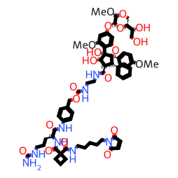 COc1ccc([C@@]23Oc4cc(O[C@@H]5O[C@@H]([C@H](O)CO)CO[C@H]5OC)cc(OC)c4[C@]2(O)[C@H](O)[C@H](C(=O)NCCNC(=O)OCc2ccc(NC(=O)[C@H](CCCNC(N)=O)NC(=O)C4(C(=O)NCCCCCN5C(=O)C=CC5=O)CCC4)cc2)[C@H]3c2ccccc2)cc1